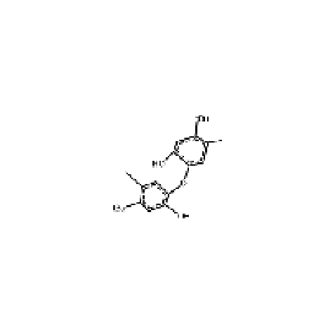 Cc1cc(Oc2cc(C)c(C(C)(C)C)cc2O)c(O)cc1C(C)(C)C